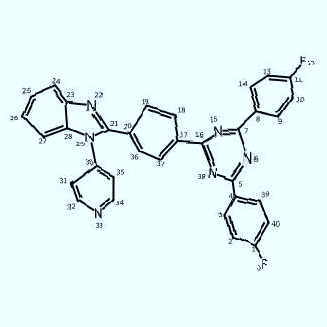 Fc1ccc(-c2nc(-c3ccc(F)cc3)nc(-c3ccc(-c4nc5ccccc5n4-c4ccncc4)cc3)n2)cc1